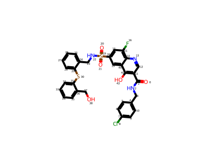 O=C(NCc1ccc(Cl)cc1)c1cnc2c(F)cc(S(=O)(=O)NCc3ccccc3Sc3ccccc3CO)cc2c1O